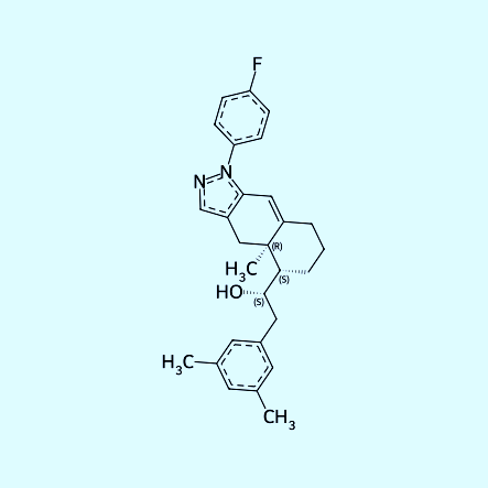 Cc1cc(C)cc(C[C@H](O)[C@H]2CCCC3=Cc4c(cnn4-c4ccc(F)cc4)C[C@@]32C)c1